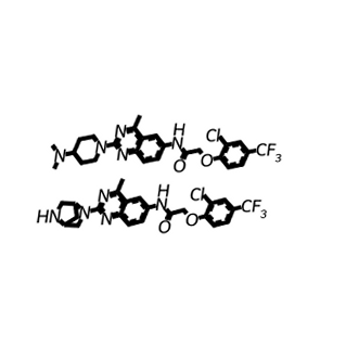 Cc1nc(N2CC3CC2CN3)nc2ccc(NC(=O)COc3ccc(C(F)(F)F)cc3Cl)cc12.Cc1nc(N2CCC(N(C)C)CC2)nc2ccc(NC(=O)COc3ccc(C(F)(F)F)cc3Cl)cc12